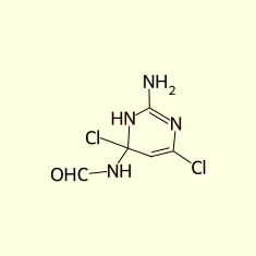 NC1=NC(Cl)=CC(Cl)(NC=O)N1